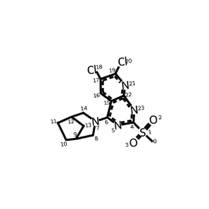 CS(=O)(=O)c1nc(N2CC3CCC(C3)C2)c2cc(Cl)c(Cl)nc2n1